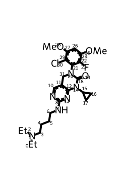 CCN(CC)CCCCNc1ncc2c(n1)N(C1CC1)C(=O)N(c1c(F)c(OC)cc(OC)c1Cl)C2